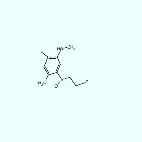 CNc1cc([S+]([O-])CCF)c(C)cc1F